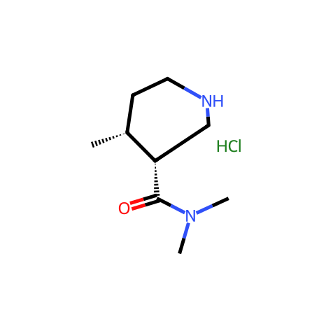 C[C@@H]1CCNC[C@@H]1C(=O)N(C)C.Cl